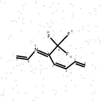 C=C/C=C\C(=N/C=C)C(F)(F)F